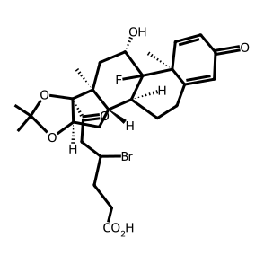 CC1(C)O[C@@H]2C[C@H]3[C@@H]4CCC5=CC(=O)C=C[C@]5(C)C4(F)[C@@H](O)C[C@]3(C)[C@]2(C(=O)CC(Br)CCC(=O)O)O1